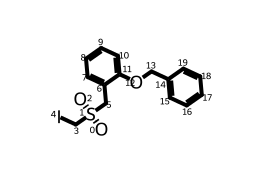 O=S(=O)(CI)Cc1ccccc1OCc1ccccc1